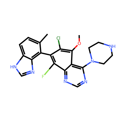 COc1c(Cl)c(-c2c(C)ccc3[nH]cnc23)c(F)c2ncnc(N3CCNCC3)c12